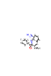 CCCCc1cc2cccc(N)c2nc1C(=O)c1ccccc1